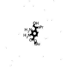 CCCC(CO)c1ccc(C(=O)OC(C)(C)C)c(N)c1N